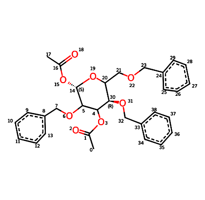 CC(=O)OC1C(OCc2ccccc2)[C@H](OC(C)=O)OC(COCc2ccccc2)[C@H]1OCc1ccccc1